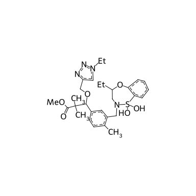 CCC1CN(Cc2cc(C(OCc3cn(CC)nn3)C(C)(C)C(=O)OC)ccc2C)S(O)(O)c2ccccc2O1